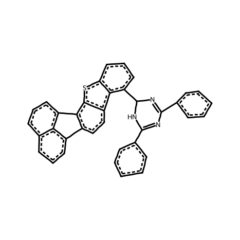 c1ccc(C2=NC(c3cccc4sc5c6c(ccc5c34)-c3cccc4cccc-6c34)NC(c3ccccc3)=N2)cc1